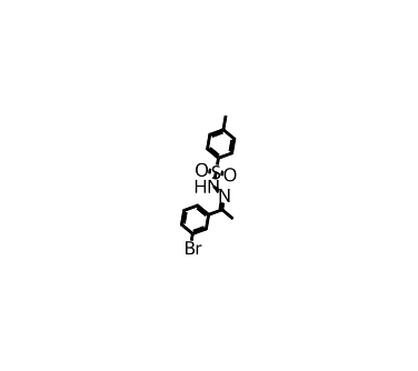 CC(=NNS(=O)(=O)c1ccc(C)cc1)c1cccc(Br)c1